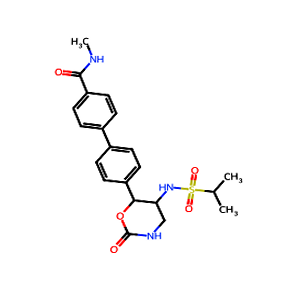 CNC(=O)c1ccc(-c2ccc(C3OC(=O)NCC3NS(=O)(=O)C(C)C)cc2)cc1